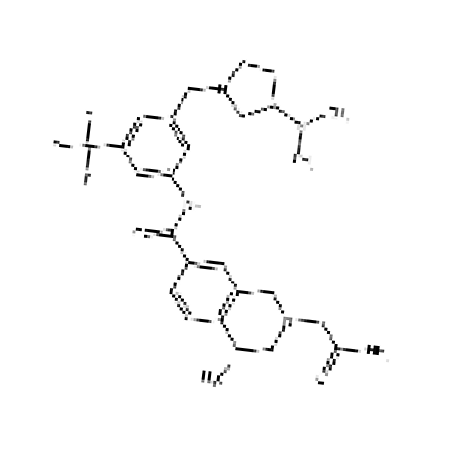 C[C@H]1CN(CC(N)=O)Cc2cc(C(=O)Nc3cc(CN4CCC(N(C)C)C4)cc(C(F)(F)F)c3)ccc21